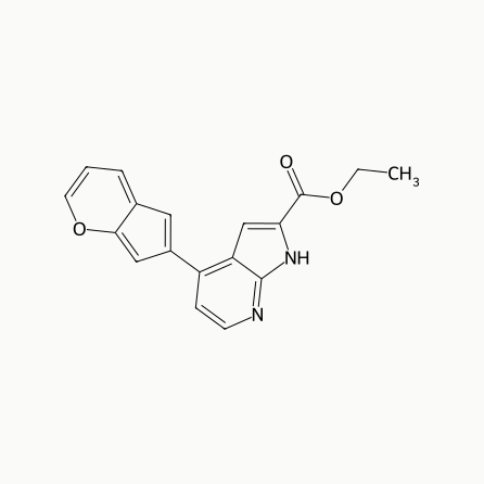 CCOC(=O)c1cc2c(-c3cc4cccoc-4c3)ccnc2[nH]1